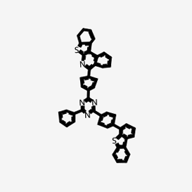 C1=Cc2c(sc3nc(-c4ccc(-c5nc(-c6ccccc6)nc(-c6ccc(-c7cccc8c7sc7ccccc78)cc6)n5)cc4)c4ccccc4c23)CC1